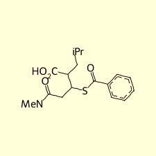 CNC(=O)CC(SC(=O)c1ccccc1)C(CC(C)C)C(=O)O